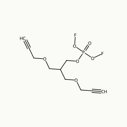 C#CCOCC(COCC#C)COP(=O)(OF)OF